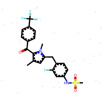 Cc1cc(Cc2ccc(NS(C)(=O)=O)cc2F)n(C)c1C(=O)c1ccc(C(F)(F)F)cc1